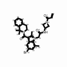 C=CC(=O)N1CC(NC(=O)Cn2c(C)c(C(=O)N3CCc4ccccc4C3(C)C)c3cc(Br)cc(C)c32)C1